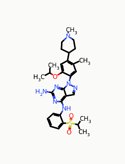 Cc1cc(-n2ncc3c(Nc4ccccc4S(=O)(=O)C(C)C)nc(N)nc32)c(OC(C)C)cc1C1CCN(C)CC1